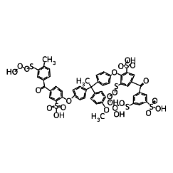 COc1ccc(C(C)(c2ccc(Oc3ccc(C(=O)c4ccc(C)c(SOOO)c4)cc3S(=O)(=O)O)cc2)c2ccc(Oc3c(SOOO)cc(C(=O)c4cc(SOOO)cc(S(=O)(=O)O)c4)cc3S(=O)(=O)O)cc2)cc1